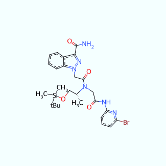 C[C@H](CO[Si](C)(C)C(C)(C)C)N(CC(=O)Nc1cccc(Br)n1)C(=O)Cn1nc(C(N)=O)c2ccccc21